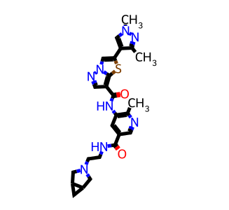 Cc1ncc(C(=O)NCCN2CC3CC3C2)cc1NC(=O)c1cnn2cc(-c3cn(C)nc3C)sc12